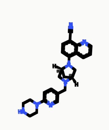 N#Cc1ccc(N2C[C@H]3C[C@@H]2CN3Cc2ccc(N3CCNCC3)nc2)c2cccnc12